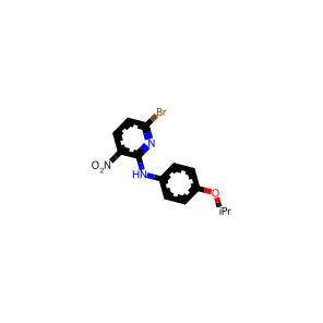 CC(C)Oc1ccc(Nc2nc(Br)ccc2[N+](=O)[O-])cc1